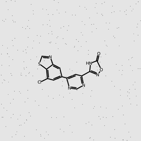 O=c1[nH]c(-c2cc(-c3cc(Cl)c4scnc4c3)ncn2)no1